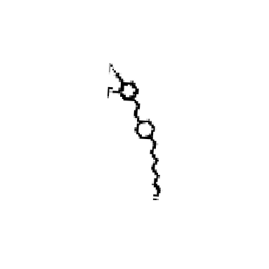 N#Cc1ccc(CCC2CCC(CCCCC/C=C/F)CC2)cc1F